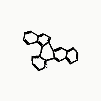 c1ccc2cc3c(cc2c1)c1ccc2ccccc2c1c1cccnc31